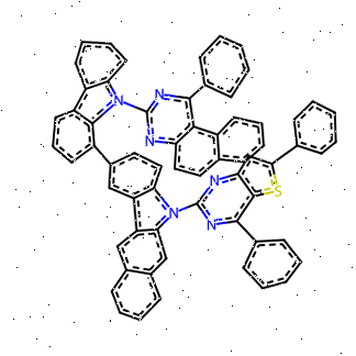 c1ccc(-c2cc3nc(-n4c5ccc(-c6cccc7c8ccccc8n(-c8nc(-c9ccccc9)c9c(ccc%10ccccc%109)n8)c67)cc5c5cc6ccccc6cc54)nc(-c4ccccc4)c3s2)cc1